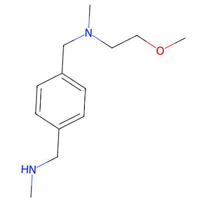 CNCc1ccc(CN(C)CCOC)cc1